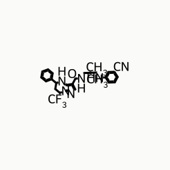 CC(C)(CNC(=O)c1cnn2c1NC(c1ccccc1)C[C@H]2C(F)(F)F)CNc1cccc(C#N)c1